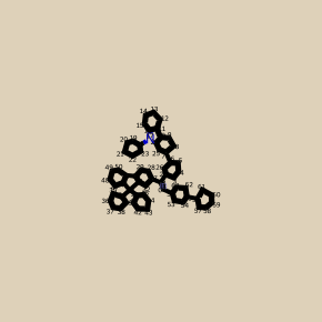 C(=C(/c1cccc(-c2ccc3c4ccccc4n(-c4ccccc4)c3c2)c1)c1ccc2c(c1)C(c1ccccc1)(c1ccccc1)c1ccccc1-2)/c1ccc(-c2ccccc2)cc1